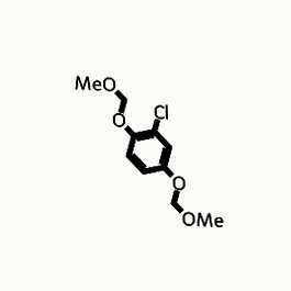 COCOc1ccc(OCOC)c(Cl)c1